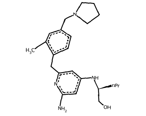 CCC[C@@H](CO)Nc1cc(N)nc(Cc2ccc(CN3CCCC3)cc2C)c1